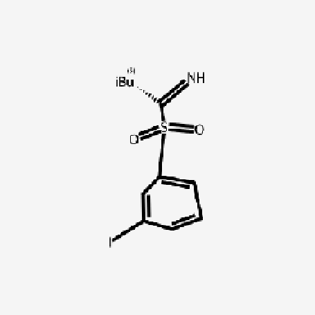 [CH2][C@@H](CC)C(=N)S(=O)(=O)c1cccc(I)c1